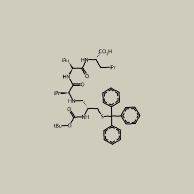 CC[C@H](C)[C@H](NC(=O)[C@@H](NC[C@H](CSC(c1ccccc1)(c1ccccc1)c1ccccc1)NC(=O)OC(C)(C)C)C(C)C)C(=O)N[C@@H](CC(C)C)C(=O)O